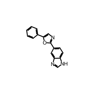 c1ccc(-c2cnc(-c3ccc4[nH]cnc4c3)o2)cc1